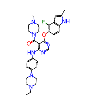 CCN1CCN(c2ccc(Nc3ncnc(Oc4ccc5[nH]c(C)cc5c4F)c3C(=O)N3CCN(C)CC3)cc2)CC1